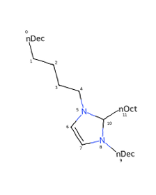 CCCCCCCCCCCCCCN1C=CN(CCCCCCCCCC)C1CCCCCCCC